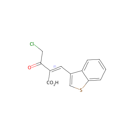 O=C(O)/C(=C\c1csc2ccccc12)C(=O)CCl